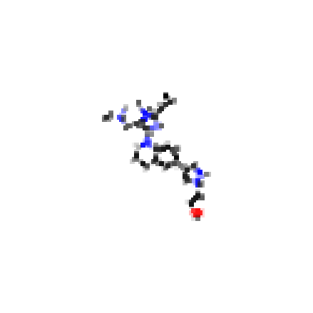 CC(=O)N1CCn2c(C3CC3)nc(N3CCCc4cc(-c5cnn(CCO)c5)ccc43)c2C1